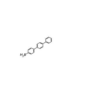 Bc1ccc(-c2ccc(-c3ccccc3)cc2)cc1